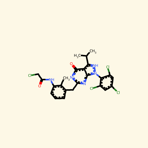 Cc1c(Cc2nc3n(-c4c(Cl)cc(Cl)cc4Cl)[nH]c(C(C)C)c-3c(=O)n2)cccc1NC(=O)CCl